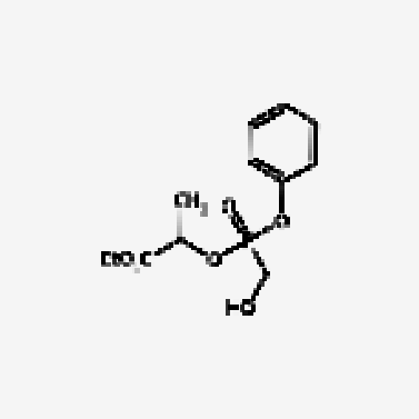 CCOC(=O)C(C)OP(=O)(CO)Oc1ccccc1